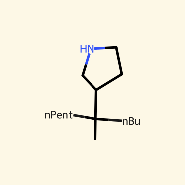 CCCCCC(C)(CCCC)C1CCNC1